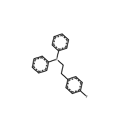 Fc1ccc(CCP(c2ccccc2)c2ccccc2)cc1